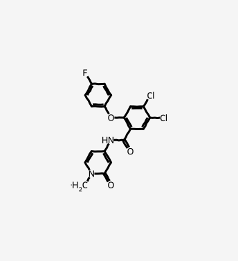 [CH2]n1ccc(NC(=O)c2cc(Cl)c(Cl)cc2Oc2ccc(F)cc2)cc1=O